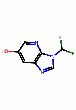 Oc1cnc2c(c1)ncn2C(F)F